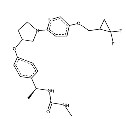 CCNC(=O)N[C@@H](C)c1ccc(OC2CCN(c3ccc(OCC4CC4(F)F)cn3)C2)cc1